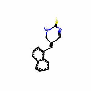 S=C1N=CC(=Cc2cccc3ccccc23)CN1